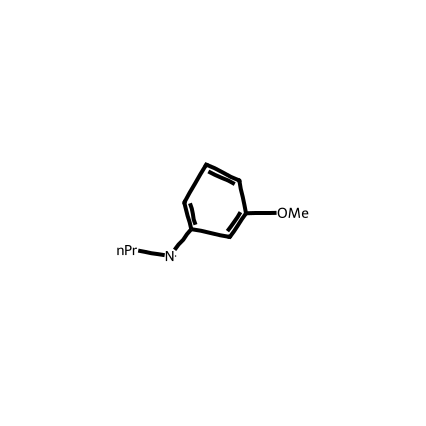 CCC[N]c1cccc(OC)c1